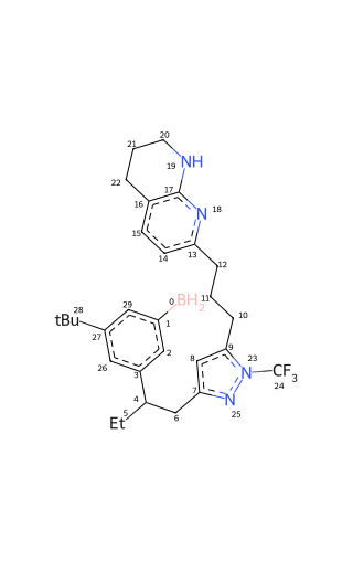 Bc1cc(C(CC)Cc2cc(CCCc3ccc4c(n3)NCCC4)n(C(F)(F)F)n2)cc(C(C)(C)C)c1